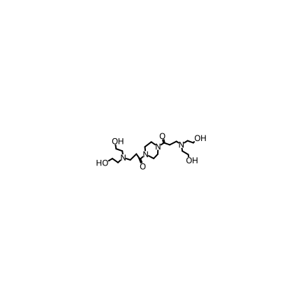 O=C(CCN(CCO)CCO)N1CCN(C(=O)CCN(CCO)CCO)CC1